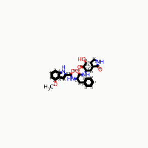 COc1cccc2[nH]c(C(=O)NC(Cc3ccccc3)C(=O)NC(CC3CCNC3=O)C(=O)CO)cc12